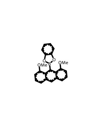 COc1cccc2cc3cccc(OC)c3c(B3Oc4ccccc4O3)c12